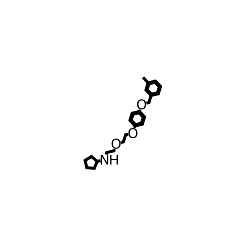 Cc1cccc(COc2ccc(OCCOCCNC3CCCC3)cc2)c1